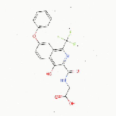 O=C(O)CNC(=O)c1nc(C(F)(F)F)c2cc(Oc3ccccc3)ccc2c1O